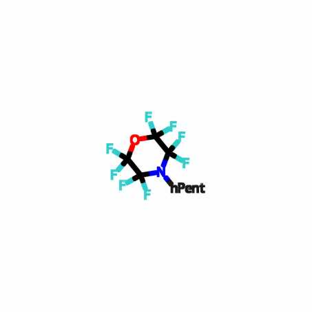 CCCCCN1C(F)(F)C(F)(F)OC(F)(F)C1(F)F